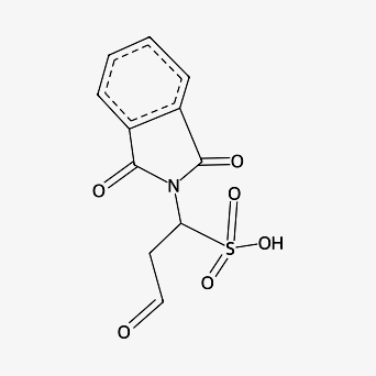 O=CCC(N1C(=O)c2ccccc2C1=O)S(=O)(=O)O